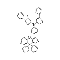 CC1(C)c2ccccc2-c2ccc(N(c3ccc(-c4cccc5c4Oc4ccccc4C5(c4ccccc4)c4ccccc4)cc3)c3cccc(-c4ccccc4)c3)cc21